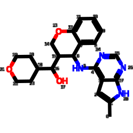 Cc1cc2c(NC3c4ccccc4OCC3C(O)C3CCOCC3)ncnc2[nH]1